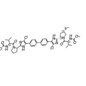 COC(=O)N[C@H](C(=O)N1CCCC1c1nc(Cl)c(-c2ccc(-c3ccc(-c4[nH]c([C@@H]5C[C@H](SC)CN5C(=O)[C@@H](NC(=O)OC)C(C)C)nc4Cl)cc3)cc2)[nH]1)C(C)C